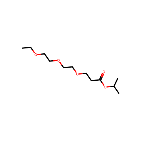 CCOCCOCCOCCC(=O)OC(C)C